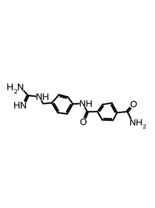 N=C(N)NCc1ccc(NC(=O)c2ccc(C(N)=O)cc2)cc1